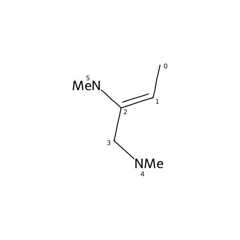 CC=C(CNC)NC